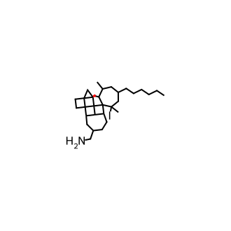 CCCCCCC1CC(C)C(C)C2(C3CCC(CN)CC4C3C23C2CC25CCC453)C(C)(I)C1